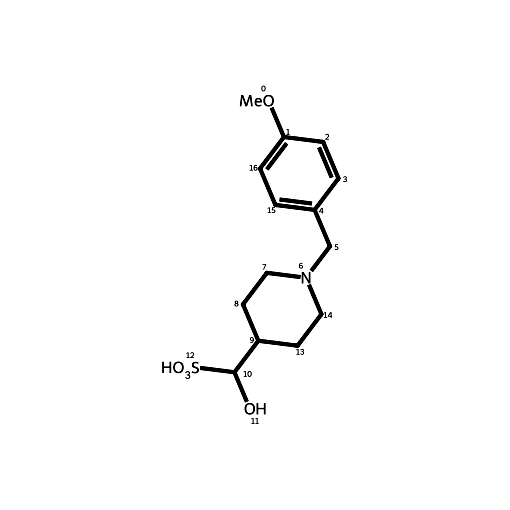 COc1ccc(CN2CCC(C(O)S(=O)(=O)O)CC2)cc1